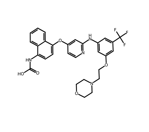 O=C(O)Nc1ccc(Oc2ccnc(Nc3cc(OCCN4CCOCC4)cc(C(F)(F)F)c3)c2)c2ccccc12